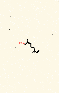 C=C[C@@H](C)CCC=C(C)CO